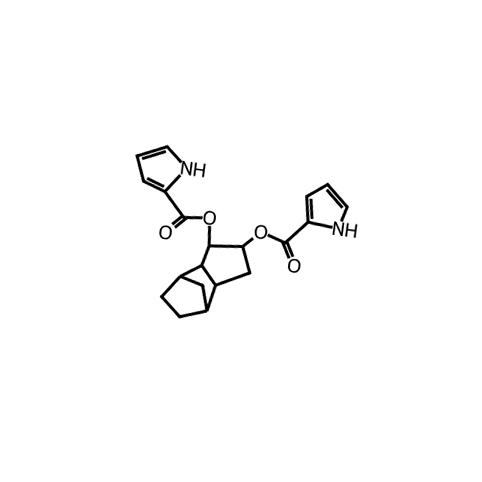 O=C(OC1CC2C3CCC(C3)C2C1OC(=O)c1ccc[nH]1)c1ccc[nH]1